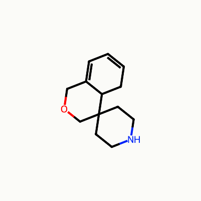 C1=CCC2C(=C1)COCC21CCNCC1